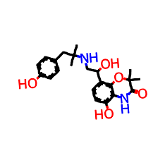 CC(C)(Cc1ccc(O)cc1)NCC(O)c1ccc(O)c2c1OC(C)(C)C(=O)N2